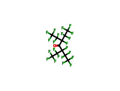 O=C(C(F)(C(F)(F)C(F)(F)F)C(F)(F)C(F)(F)F)C(F)(C(F)(F)C(F)(F)F)C(F)(F)C(F)(F)F